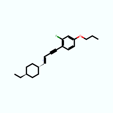 CCCOc1ccc(C#C/C=C/[C@H]2CC[C@H](CC)CC2)c(F)c1